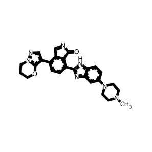 CN1CCN(c2ccc3[nH]c(-c4ccc(-c5cnn6c5OCCC6)c5c4C(=O)N=C5)nc3c2)CC1